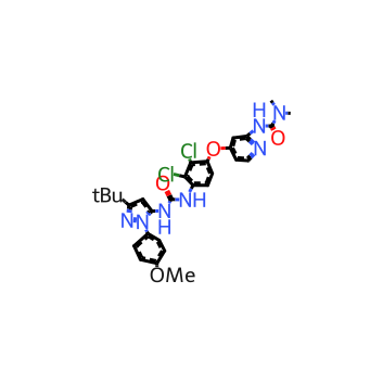 COc1ccc(-n2nc(C(C)(C)C)cc2NC(=O)Nc2ccc(Oc3ccnc(NC(=O)N(C)C)c3)c(Cl)c2Cl)cc1